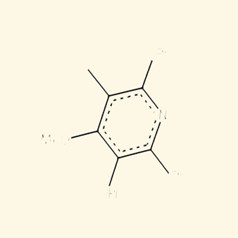 COc1c(C)c(C(C)C)nc(C(C)C)c1C(C)C